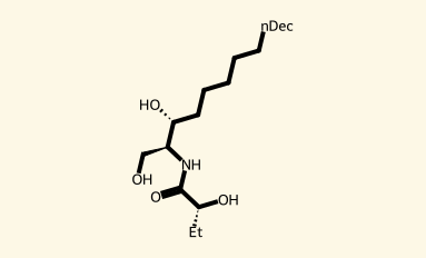 CCCCCCCCCCCCCCC[C@@H](O)[C@H](CO)NC(=O)[C@H](O)CC